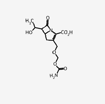 CC(O)C1C(=O)N2C(C(=O)O)=C(COCOC(N)=O)CC12